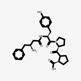 N[C@H](CC(=O)N[C@@H](Cc1ccc(O)cc1)C(=O)N1CCC[C@H]1C(=O)C1CCC[C@H]1C(=O)O)Cc1ccccc1